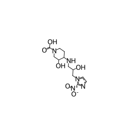 O=C(O)N1CCC(NCC(O)Cn2ccnc2[N+](=O)[O-])C(O)C1